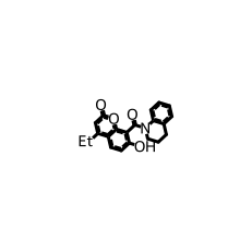 CCc1cc(=O)oc2c(C(=O)N3CCCc4ccccc43)c(O)ccc12